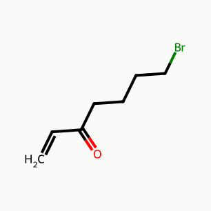 C=CC(=O)CCCCBr